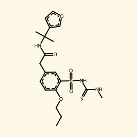 CCCOc1ccc(CC(=O)NC(C)(C)c2ccoc2)cc1S(=O)(=O)NC(=S)NC